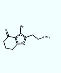 COCCn1nc2c(c1C(C)C)C(=O)CCC2